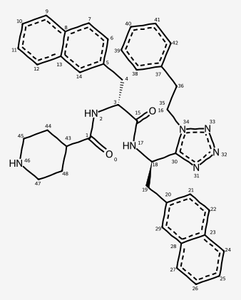 O=C(N[C@H](Cc1ccc2ccccc2c1)C(=O)N[C@H](Cc1ccc2ccccc2c1)c1nnnn1CCc1ccccc1)C1CCNCC1